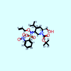 C=CCON(C1CN(C(=O)OC(C)(C)C)[C@H](CO)C=C1C(C)C)S(=O)(=O)c1ccccc1[N+](=O)[O-]